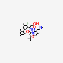 Cc1cc(C)c(-c2cc(C)c(F)c(C(CC(=O)O)NC(=O)C(CCC(C)C)n3cc(CCN(C)C)c(C)cc3=O)c2)c(C)c1